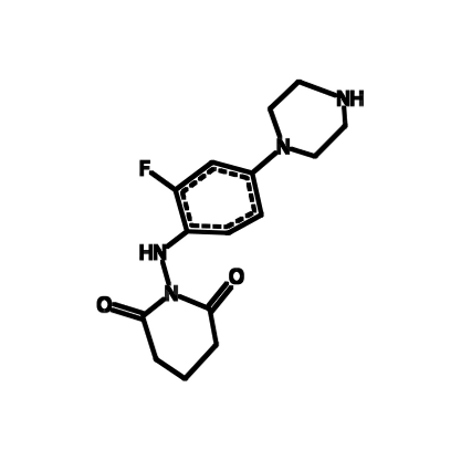 O=C1CCCC(=O)N1Nc1ccc(N2CCNCC2)cc1F